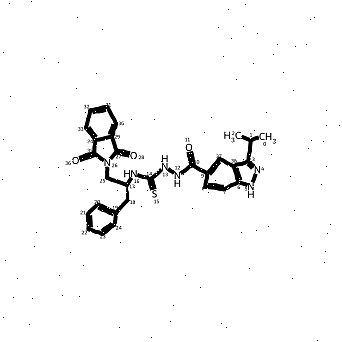 CC(C)c1n[nH]c2ccc(C(=O)NNC(=S)N[C@@H](Cc3ccccc3)CN3C(=O)c4ccccc4C3=O)cc12